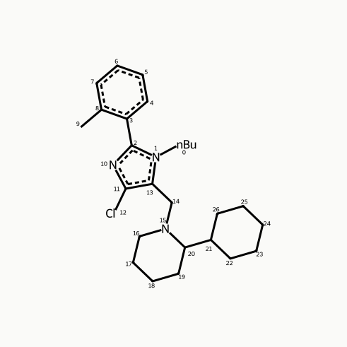 CCCCn1c(-c2ccccc2C)nc(Cl)c1CN1CCCCC1C1CCCCC1